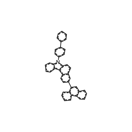 c1ccc(-c2ccc(-n3c4ccccc4c4c5ccc(-c6cc7ccccc7c7ccccc67)cc5ccc43)cc2)cc1